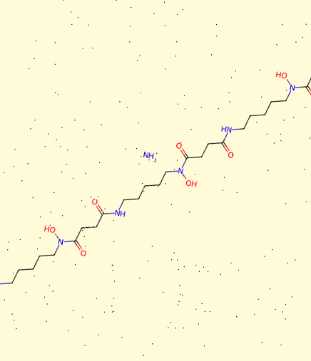 CC(=O)N(O)CCCCCNC(=O)CCC(=O)N(O)CCCCCNC(=O)CCC(=O)N(O)CCCCCN.N